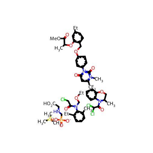 CC1COc2ccccc2N1C(=O)C(Cl)Cl.CCOCN(C(=O)CCl)c1c(C)cccc1CC.CCc1ccc(COc2ccc(-n3c(=O)cc(C(F)(F)F)n(C)c3=O)cc2)c(OC(C)C(=O)OC)c1.C[S+](C)C.O=C(O)CNCP(=O)([O-])O